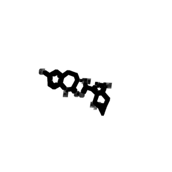 CC12Cc3[nH]nc(C(=O)N[C@H]4CCc5cc(Cl)ccc5NC4=O)c3CC1C2